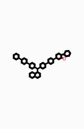 c1ccc(-c2ccc(-c3ccc(C(c4ccc(-c5ccc(-c6ccc7c(c6)oc6ccccc67)cc5)cc4)c4cccc5ccccc45)cc3)cc2)cc1